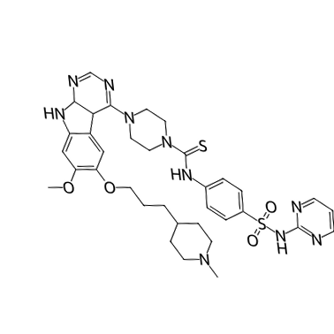 COc1cc2c(cc1OCCCC1CCN(C)CC1)C1C(N3CCN(C(=S)Nc4ccc(S(=O)(=O)Nc5ncccn5)cc4)CC3)=NC=NC1N2